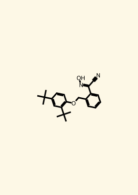 CC(C)(C)c1ccc(OCc2ccccc2C(C#N)=NO)c(C(C)(C)C)c1